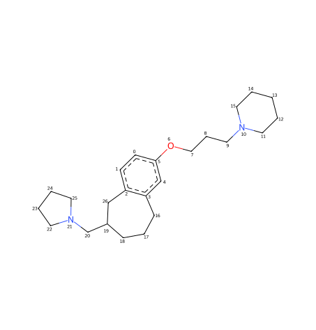 c1cc2c(cc1OCCCN1CCCCC1)CCCC(CN1CCCC1)C2